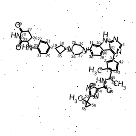 Cc1cc(-c2ncnc3[nH]c4cc(N5CCN([C@H]6C[C@@H](c7ccc(NC8CCC(=O)NC8=O)cc7)C6)CC5)ccc4c23)ccc1[C@@H](C)NC(=O)c1nc(C2(C)CC2)no1